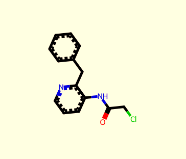 O=C(CCl)Nc1cccnc1Cc1ccccc1